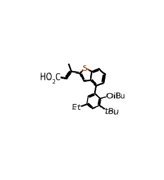 CCc1cc(-c2cccc3sc(C(C)=CC(=O)O)cc23)c(OCC(C)C)c(C(C)(C)C)c1